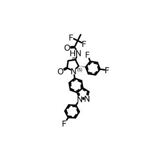 CC(F)(F)C(=O)N[C@@H]1CC(=O)N(c2ccc3c(cnn3-c3ccc(F)cc3)c2)[C@H]1c1ccc(F)cc1F